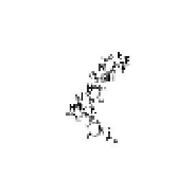 CC=CN1CCCC(c2nc(-c3ccc(C(=O)Nc4cc(C(F)(F)F)ccn4)nc3)n3c(N)nccc23)C1